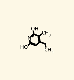 CCc1cc(O)nc(O)c1C